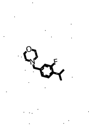 CC(C)c1ccc(CN2CCOCC2)cc1F